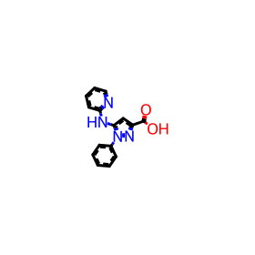 O=C(O)c1cc(Nc2ccccn2)n(-c2ccccc2)n1